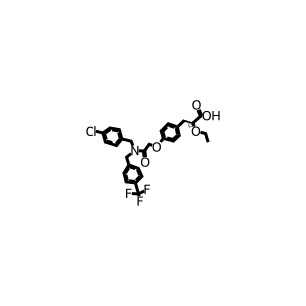 CCO[C@@H](Cc1ccc(OCC(=O)N(Cc2ccc(Cl)cc2)Cc2ccc(C(F)(F)F)cc2)cc1)C(=O)O